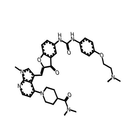 CN(C)CCOc1ccc(NC(=O)Nc2ccc3c(c2)C(=O)/C(=C/c2cn(C)c4nccc(N5CCC(C(=O)N(C)C)CC5)c24)O3)cc1